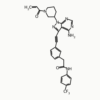 C=CC(=O)N1CCCC(n2nc(C#Cc3cccc(CC(=O)Nc4ccc(C(F)(F)F)cc4)c3)c3c(N)ncnc32)C1